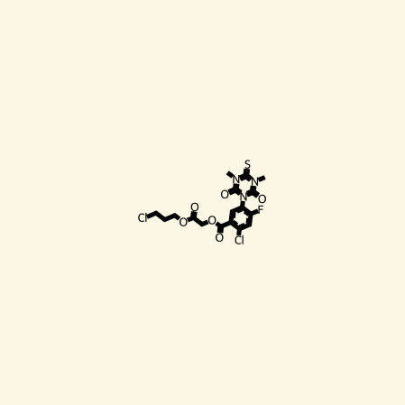 Cn1c(=S)n(C)c(=O)n(-c2cc(C(=O)OCC(=O)OCCCCl)c(Cl)cc2F)c1=O